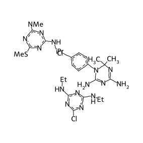 CC1(C)N=C(N)N=C(N)N1c1ccc(Cl)cc1.CCNc1nc(Cl)nc(NCC)n1.CNc1nc(NC(C)C)nc(SC)n1